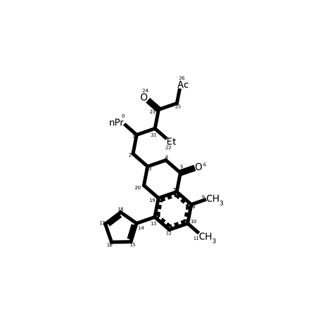 CCCC(CC1CC(=O)c2c(C)c(C)cc(C3=CCC=C3)c2C1)C(CC)C(=O)CC(C)=O